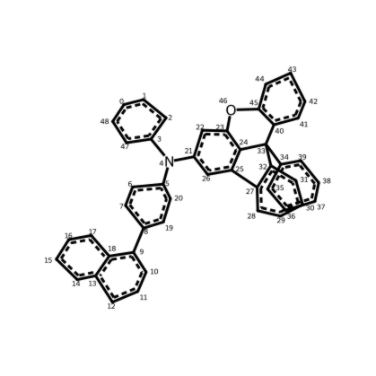 c1ccc(N(c2ccc(-c3cccc4ccccc34)cc2)c2cc3c4c(c2)-c2ccccc2C4(c2ccccc2)c2ccccc2O3)cc1